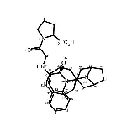 O=C(O)C1CCCN1C(=O)CNc1nc2ccccc2n(C2CC3CCC(C2)N3C2CCCCCCC2)c1=O